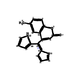 Cc1ccc2oc(=O)cc(/C(=C3/C=CC=N3)c3ccc[nH]3)c2c1